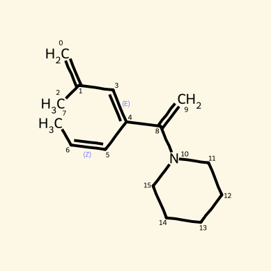 C=C(C)/C=C(\C=C/C)C(=C)N1CCCCC1